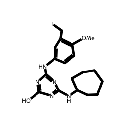 COc1ccc(Nc2nc(O)nc(NC3CCCCCC3)n2)cc1CI